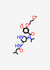 COCCCOc1cc(C(=O)N(C(C)C)[C@H]2CNC[C@@H](CNC(=O)CC(C)C)C2)ccc1OC